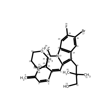 C=C(/C=N\C(=C\c1c(CC(C)(C)CO)c2cc(Br)c(F)cc2n1CC(F)(F)F)[C@H](C)OC)N1CCOCC1